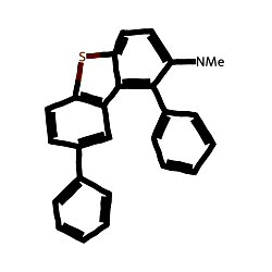 CNc1ccc2sc3ccc(-c4ccccc4)cc3c2c1-c1ccccc1